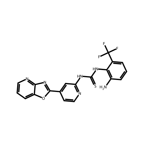 Nc1cccc(C(F)(F)F)c1NC(=S)Nc1cc(-c2nc3ncccc3o2)ccn1